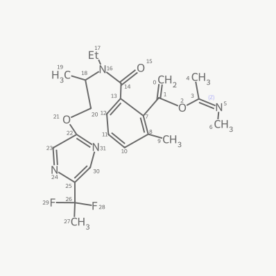 C=C(O/C(C)=N\C)c1c(C)cccc1C(=O)N(CC)C(C)COc1cnc(C(C)(F)F)cn1